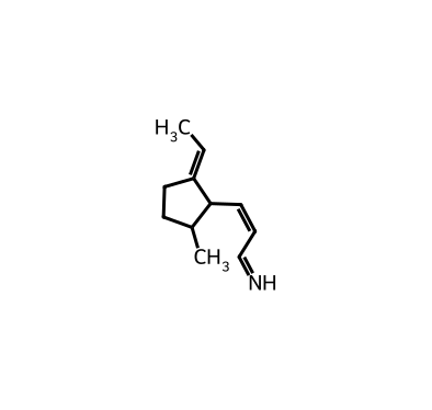 C/C=C1\CCC(C)C1/C=C\C=N